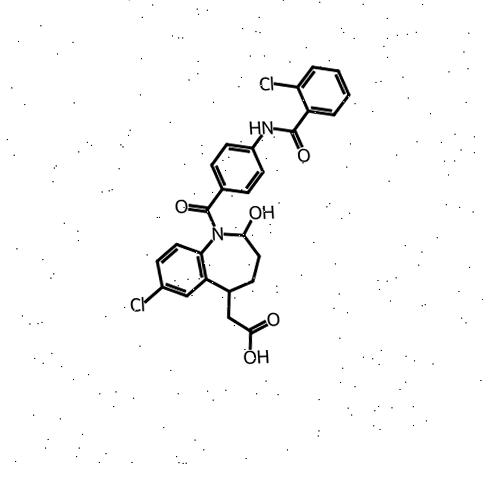 O=C(O)CC1CCC(O)N(C(=O)c2ccc(NC(=O)c3ccccc3Cl)cc2)c2ccc(Cl)cc21